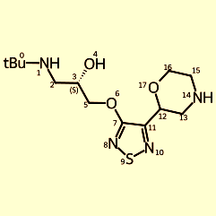 CC(C)(C)NC[C@H](O)COc1nsnc1C1CNCCO1